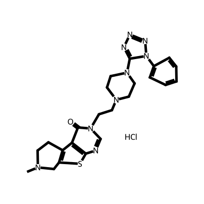 CN1CCc2c(sc3ncn(CCN4CCN(c5nnnn5-c5ccccc5)CC4)c(=O)c23)C1.Cl